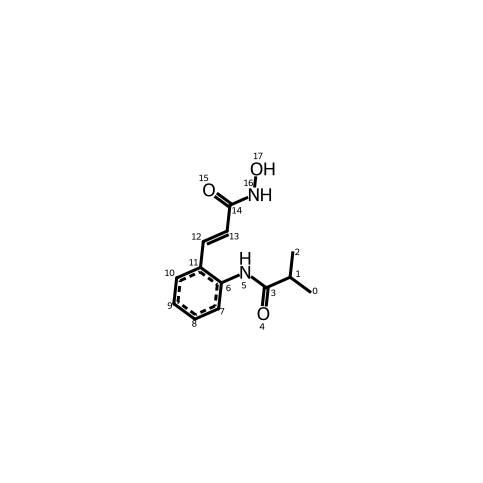 CC(C)C(=O)Nc1ccccc1C=CC(=O)NO